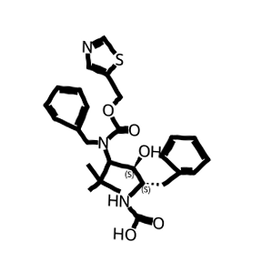 CC(C)(C)C([C@@H](O)[C@H](Cc1ccccc1)NC(=O)O)N(Cc1ccccc1)C(=O)OCc1cncs1